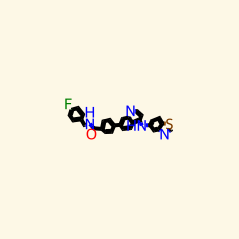 O=C(NCc1ccc(F)cc1)c1ccc(-c2ccc3c(Nc4ccc5scnc5c4)ccnc3c2)cc1